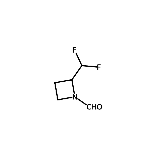 O=CN1CCC1C(F)F